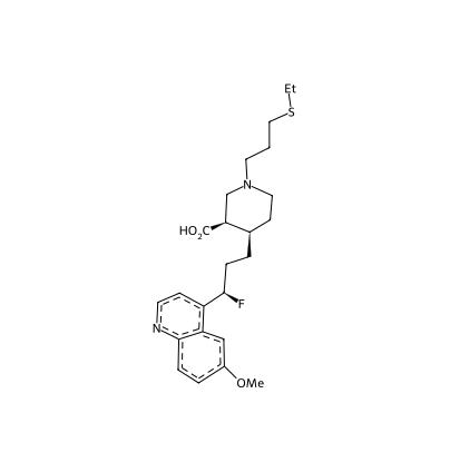 CCSCCCN1CC[C@@H](CC[C@@H](F)c2ccnc3ccc(OC)cc23)[C@@H](C(=O)O)C1